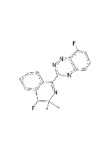 CC1(C)N=C(c2nnc3c(F)cccc3n2)c2ccccc2C1F